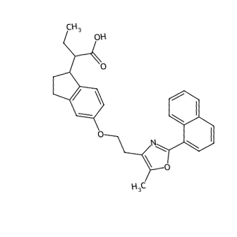 CCC(C(=O)O)C1CCc2cc(OCCc3nc(-c4cccc5ccccc45)oc3C)ccc21